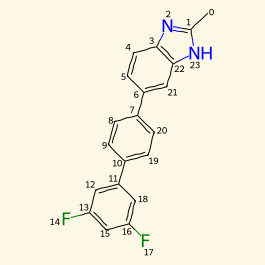 Cc1nc2ccc(-c3ccc(-c4cc(F)cc(F)c4)cc3)cc2[nH]1